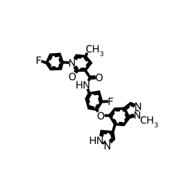 Cc1cc(C(=O)Nc2ccc(Oc3cc4cnn(C)c4cc3-c3cn[nH]c3)c(F)c2)c(=O)n(-c2ccc(F)cc2)c1